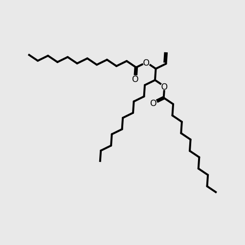 C=CC(OC(=O)CCCCCCCCCCC)C(CCCCCCCCCC)OC(=O)CCCCCCCCCCC